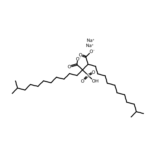 CC(C)CCCCCCCCCC(C(=O)[O-])C(CCCCCCCCCC(C)C)(C(=O)[O-])S(=O)(=O)O.[Na+].[Na+]